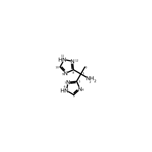 CC(N)(c1nc[nH]n1)c1nc[nH]n1